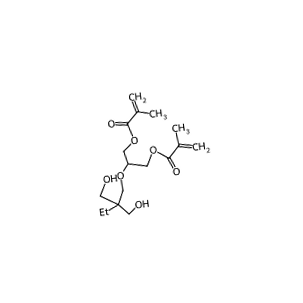 C=C(C)C(=O)OCC(COC(=O)C(=C)C)OCC(CC)(CO)CO